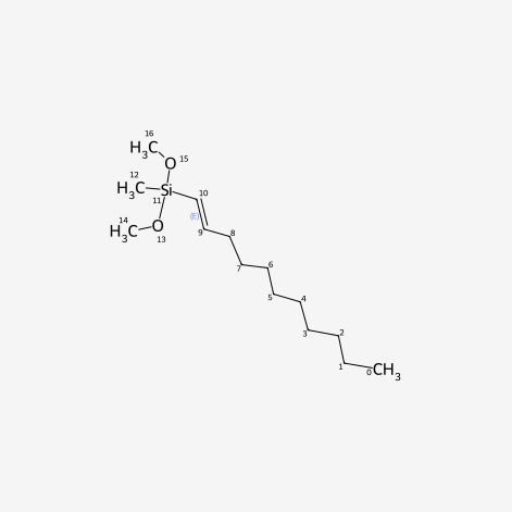 CCCCCCCCC/C=C/[Si](C)(OC)OC